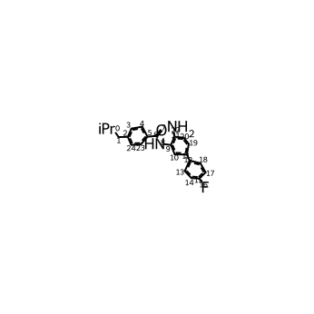 CC(C)Cc1ccc(C(=O)Nc2cc(-c3ccc(F)cc3)ccc2N)cc1